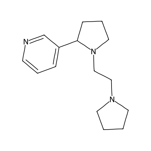 c1cncc(C2CCCN2CCN2CCCC2)c1